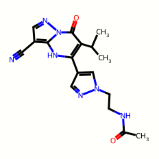 CC(=O)NCCn1cc(-c2[nH]c3c(C#N)cnn3c(=O)c2C(C)C)cn1